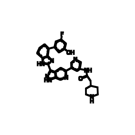 O=C(CC1CCNCC1)Nc1cncc(-c2cc3c(-c4nc5c(-c6cc(O)cc(F)c6)cccc5[nH]4)n[nH]c3cn2)c1